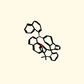 CC1(C)c2ccccc2C2(c3ccccc3-c3ccc(N(c4cccc5ccccc45)c4cccc5ccccc45)cc32)c2ccccc21